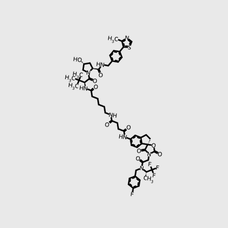 Cc1ncsc1-c1ccc(CNC(=O)[C@@H]2C[C@@H](O)CN2C(=O)[C@@H](NC(=O)CCCCCNC(=O)CCC(=O)Nc2ccc3c(c2)CC[C@@]32OC(=O)N(CC(=O)N(Cc3ccc(F)cc3)[C@@H](C)C(F)(F)F)C2=O)C(C)(C)C)cc1